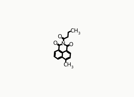 CCCC(=O)N1C(=O)c2cccc3c(C)ccc(c23)C1=O